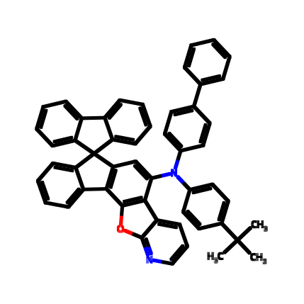 CC(C)(C)c1ccc(N(c2ccc(-c3ccccc3)cc2)c2cc3c(c4oc5ncccc5c24)-c2ccccc2C32c3ccccc3-c3ccccc32)cc1